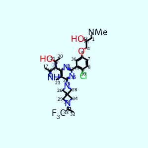 CNC[C@@H](O)COc1ccc(Cl)c(-c2nc(/C(C(C)=N)=C(\C)O)c(C)c(N3CC4(C3)CN([C@@H](C)C(F)(F)F)C4)n2)c1